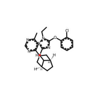 CCn1nc(NC2[C@@H]3CC[C@H]2CN(c2cc(C)ncn2)C3)nc1Oc1ccccc1Cl